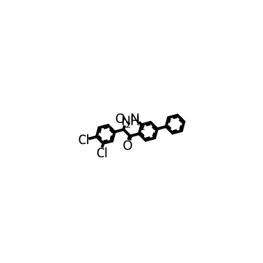 NC(C(=O)c1ccc(-c2ccccc2)cc1[N+](=O)[O-])c1ccc(Cl)c(Cl)c1